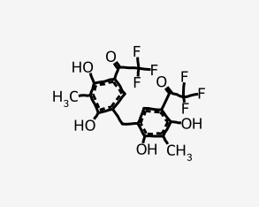 Cc1c(O)c(Cc2cc(C(=O)C(F)(F)F)c(O)c(C)c2O)cc(C(=O)C(F)(F)F)c1O